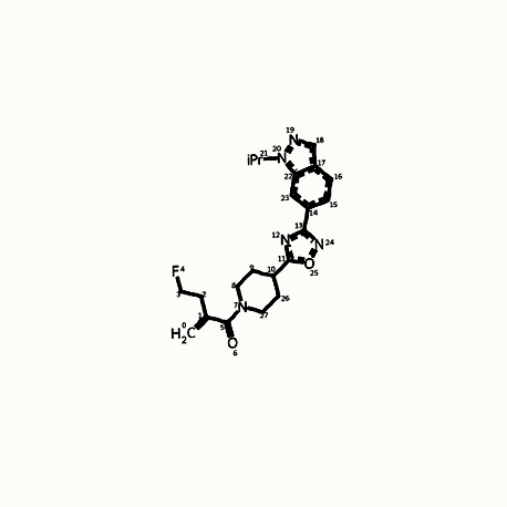 C=C(CCF)C(=O)N1CCC(c2nc(-c3ccc4cnn(C(C)C)c4c3)no2)CC1